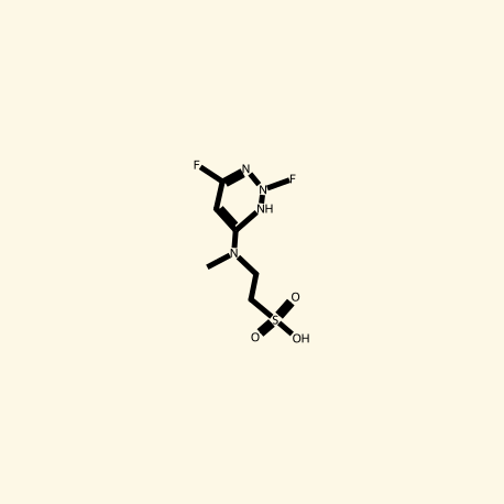 CN(CCS(=O)(=O)O)C1=CC(F)=NN(F)N1